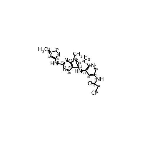 Cc1ncc(NC(=O)CCl)cc1Nc1nn(C)c2nc(Nc3cn(C)cn3)ncc12